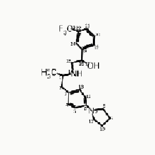 CC(Cc1ccc(N2CCCC2)cc1)NCC(O)c1cccc(C(F)(F)F)c1